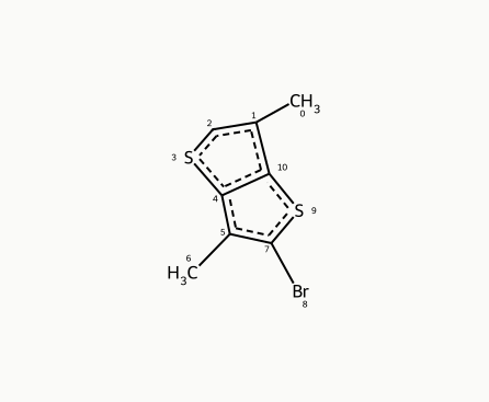 Cc1csc2c(C)c(Br)sc12